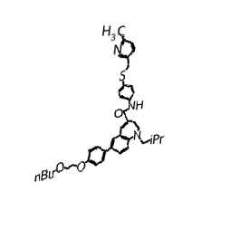 CCCCOCCOc1ccc(-c2ccc3c(c2)C=C(C(=O)Nc2ccc(SCc4ccc(C)nc4)cc2)CCN3CC(C)C)cc1